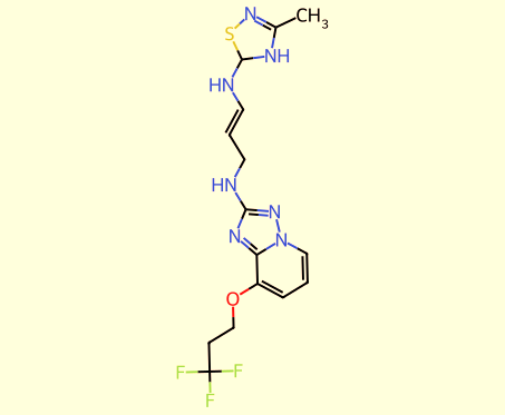 CC1=NSC(N/C=C/CNc2nc3c(OCCC(F)(F)F)cccn3n2)N1